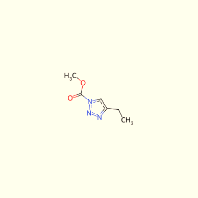 CCc1cn(C(=O)OC)nn1